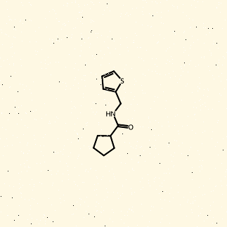 O=C(NCc1cccs1)C1CCCC1